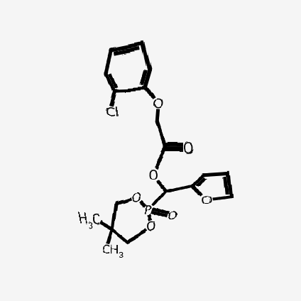 CC1(C)COP(=O)(C(OC(=O)COc2ccccc2Cl)c2ccco2)OC1